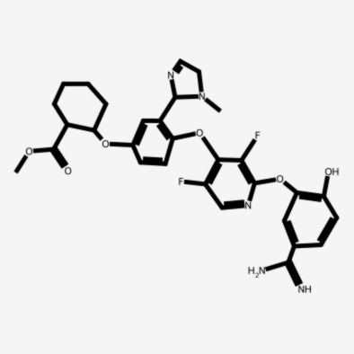 COC(=O)C1CCCCC1Oc1ccc(Oc2c(F)cnc(Oc3cc(C(=N)N)ccc3O)c2F)c(C2N=CCN2C)c1